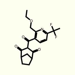 CCOCc1nc(C(C)(F)F)ccc1C(=O)C1C(=O)C2CCC(C2)C1=O